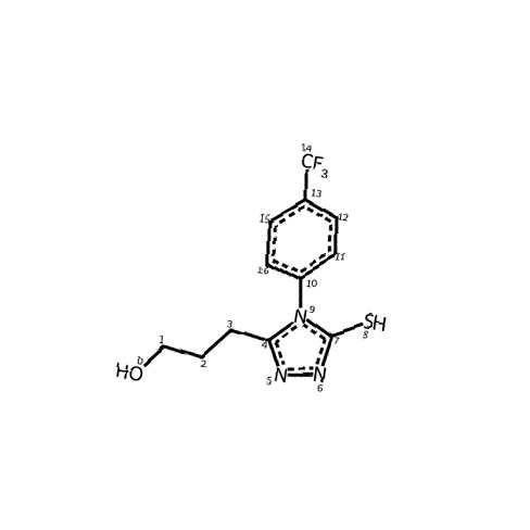 OCCCc1nnc(S)n1-c1ccc(C(F)(F)F)cc1